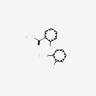 NC(=O)c1ccccc1Cl.Nc1ccccc1N